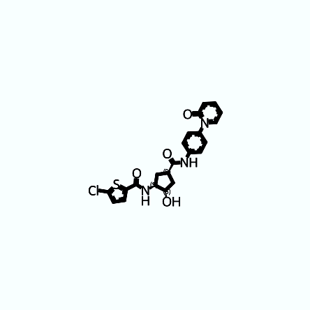 O=C(N[C@H]1C[C@@H](C(=O)Nc2ccc(-n3ccccc3=O)cc2)C[C@@H]1O)c1ccc(Cl)s1